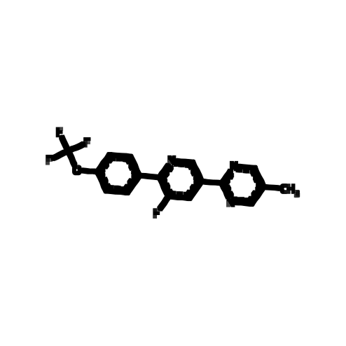 Cc1cnc(-c2cnc(-c3ccc(OC(F)(F)F)cc3)c(F)c2)nc1